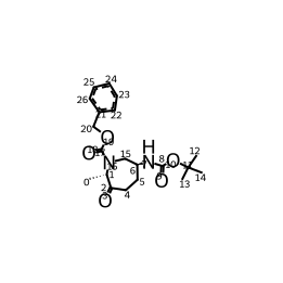 C[C@H]1C(=O)CC[C@H](NC(=O)OC(C)(C)C)CN1C(=O)OCc1ccccc1